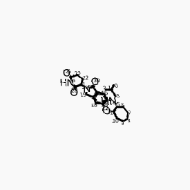 CC(C)CN[C@@H]1CCCCC[C@H]1Oc1ccc2c(c1)CN(C1CCC(=O)NC1=O)C2=O